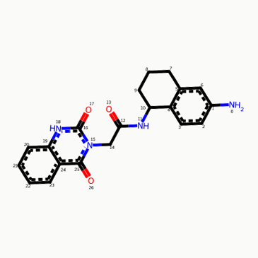 Nc1ccc2c(c1)CCCC2NC(=O)Cn1c(=O)[nH]c2ccccc2c1=O